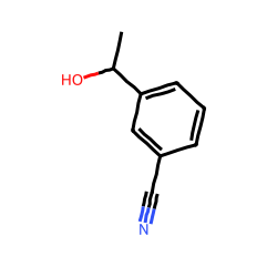 CC(O)c1cccc(C#N)c1